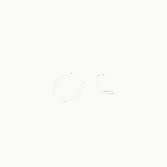 C=C[Si](C)(Cl)c1ccccc1